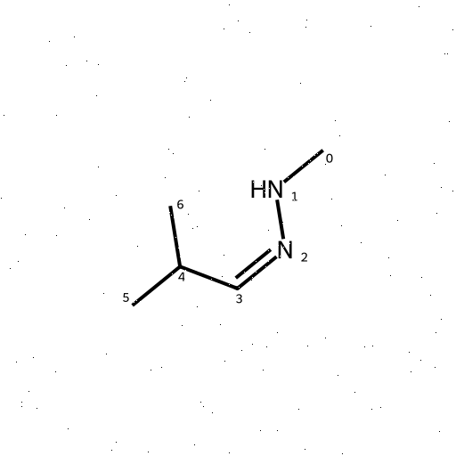 CN/N=C\C(C)C